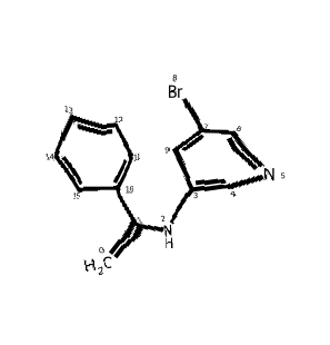 C=C(Nc1cncc(Br)c1)c1ccccc1